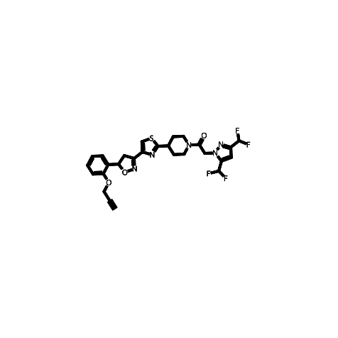 C#CCOc1ccccc1C1CC(c2csc(C3CCN(C(=O)Cn4nc(C(F)F)cc4C(F)F)CC3)n2)=NO1